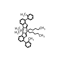 CCCCC[Si]1(CCCCC)C2=Cc3c(-c4ccccc4C)cccc3[CH]2[Hf]([CH3])([CH3])[CH]2C1=Cc1c(-c3ccccc3C)cccc12